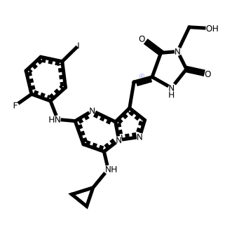 O=C1N/C(=C\c2cnn3c(NC4CC4)cc(Nc4cc(I)ccc4F)nc23)C(=O)N1CO